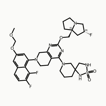 COCOc1cc(N2CCc3c(nc(OC[C@@]45CCCN4C[C@H](F)C5)nc3N3CCCC4(CNS(=O)(=O)N4)C3)C2)c2c(F)c(F)ccc2c1